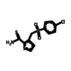 NC(=S)c1sccc1CS(=O)(=O)c1ccc(Cl)cc1